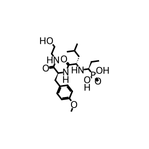 CC[C@H](N[C@@H](CC(C)C)C(=O)N[C@@H](Cc1ccc(OC)cc1)C(=O)NCCO)P(=O)(O)O